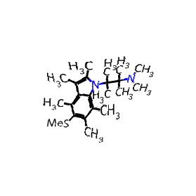 CSc1c(C)c(C)c2c(c1C)c(C)c(C)n2C(C)(C)C(C)(C)N(C)C